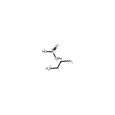 CO[PH](=O)O.NCCN